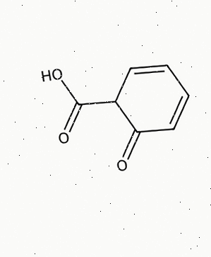 O=C(O)C1C=CC=CC1=O